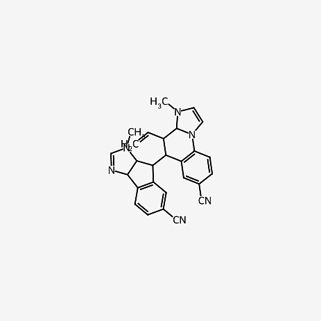 C=CC1C(C2c3cc(C#N)ccc3C3N=CN(C)C32)c2cc(C#N)ccc2N2C=CN(C)C12